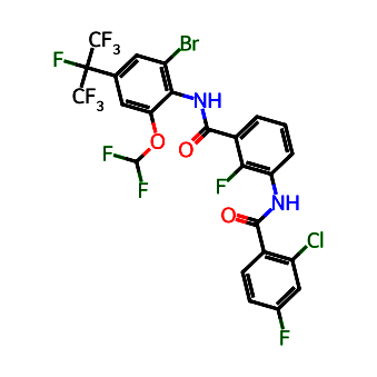 O=C(Nc1cccc(C(=O)Nc2c(Br)cc(C(F)(C(F)(F)F)C(F)(F)F)cc2OC(F)F)c1F)c1ccc(F)cc1Cl